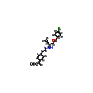 C=C(C=O)c1ccc(CCCNC(COCc2ccc(F)cc2)=C2CC2)cc1